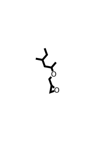 CCC(C)CC(C)OCC1CO1